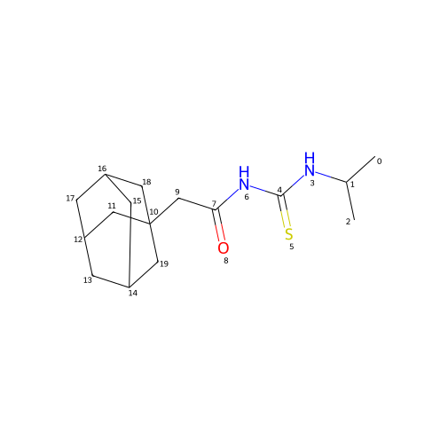 CC(C)NC(=S)NC(=O)CC12CC3CC(CC(C3)C1)C2